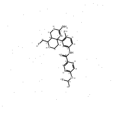 NC1=NC2(c3cc(NC(=O)c4cnc(OC(F)F)cn4)ccc3F)CCOC(CF)C2CS1